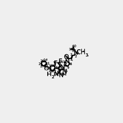 CN(C/C=C/C(=O)N1CCC(n2c(C(F)F)c(-c3ccc(Oc4ccccc4)cc3)c3c(N)ncnc32)C1)C1CC1